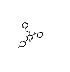 CN1CCN(c2ncc(Sc3cc[c]cc3)c(OCc3ccccc3)n2)CC1